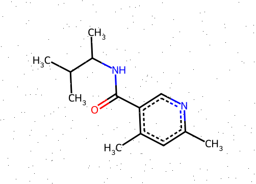 Cc1cc(C)c(C(=O)NC(C)C(C)C)cn1